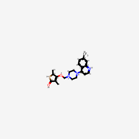 CC1=C(OCN2CCN(c3ccnc4cc(C(F)(F)F)ccc34)CC2)C(C)SC1=O